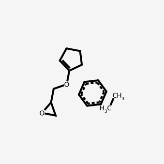 C1=C(OCC2CO2)CCC1.CC.c1ccccc1